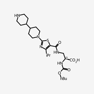 CCCCOC(=O)N[C@@H](CNC(=O)c1sc(N2CCC(C3CCNCC3)CC2)nc1C(C)C)C(=O)O